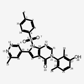 Cc1ccc(S(=O)(=O)n2c(-c3cnnc(C)c3)cc3c(=O)n(-c4c(C)ccc(O)c4C)cnc32)cc1